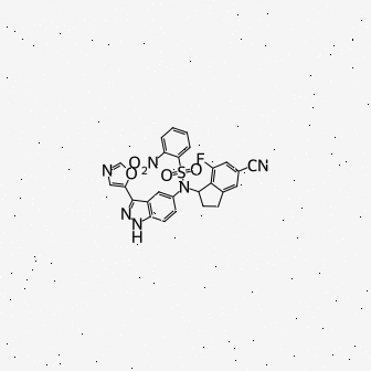 N#Cc1cc(F)c2c(c1)CCC2N(c1ccc2[nH]nc(-c3cnco3)c2c1)S(=O)(=O)c1ccccc1[N+](=O)[O-]